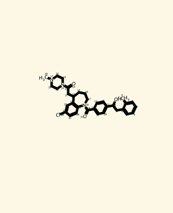 Cc1ccccc1CC(O)c1ccc(C(=O)N2CCCC(CC(=O)N3CCN(C)CC3)c3cc(Cl)ccc32)cc1